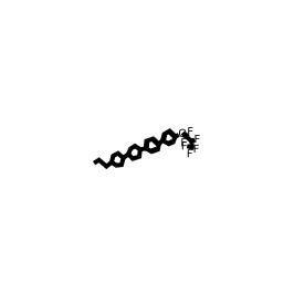 CCCC1CCC(C2CCC(c3ccc(-c4ccc(OC(F)(F)C(F)C(F)(F)F)cc4)cc3)CC2)CC1